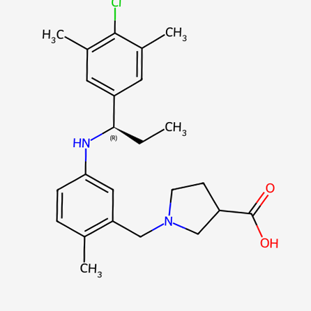 CC[C@@H](Nc1ccc(C)c(CN2CCC(C(=O)O)C2)c1)c1cc(C)c(Cl)c(C)c1